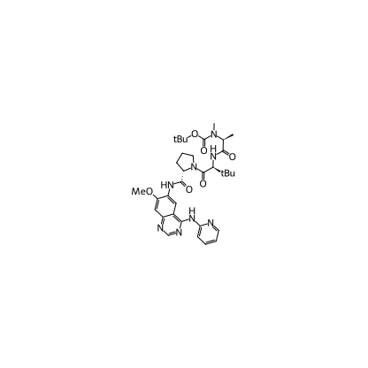 COc1cc2ncnc(Nc3ccccn3)c2cc1NC(=O)[C@@H]1CCCN1C(=O)[C@@H](NC(=O)[C@H](C)N(C)C(=O)OC(C)(C)C)C(C)(C)C